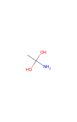 CC(N)(O)O